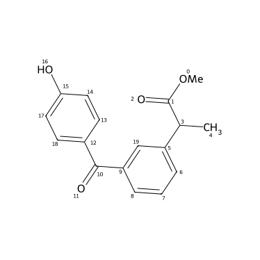 COC(=O)C(C)c1cccc(C(=O)c2ccc(O)cc2)c1